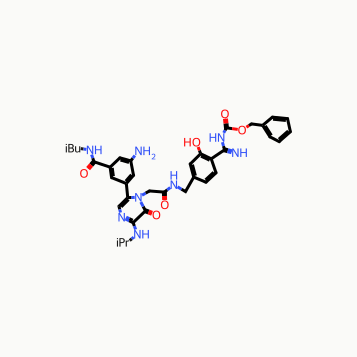 CCC(C)NC(=O)c1cc(N)cc(-c2cnc(NC(C)C)c(=O)n2CC(=O)NCc2ccc(C(=N)NC(=O)OCc3ccccc3)c(O)c2)c1